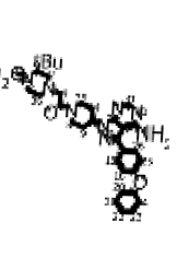 CC(C)(C)C1CN(CC(=O)N2CCC(n3nc(-c4ccc(Oc5ccccc5)cc4)c4c(N)ncnc43)CC2)CCN1C(=O)O